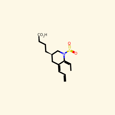 C=C/C=C1/C[C@@H](CCCC(=O)O)CN([SH](=O)=O)/C1=C/C